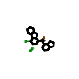 [Cl-].[Cl-].[S]=[Zr+2]([c]1cccc2c1C=CC2)[c]1ccc(Br)c2c1Cc1ccccc1-2